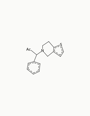 CC(=O)C(c1ccccc1)N1CCc2sccc2C1